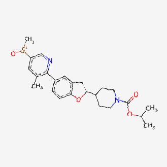 Cc1cc([S+](C)[O-])cnc1-c1ccc2c(c1)CC(C1CCN(C(=O)OC(C)C)CC1)O2